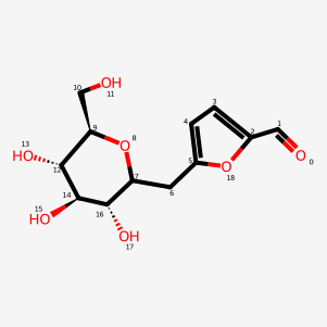 O=Cc1ccc(CC2O[C@H](CO)[C@@H](O)[C@H](O)[C@H]2O)o1